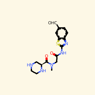 CN(CC(=O)Nc1nc2ccc(C=O)cc2s1)C(=O)[C@@H]1CNCCN1